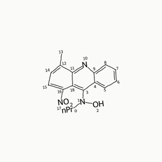 CCCN(O)c1c2ccccc2nc2c(C)ccc([N+](=O)[O-])c12